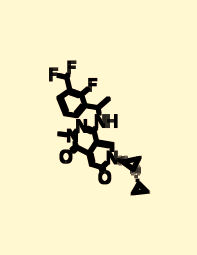 CC(Nc1nn(C)c(=O)c2cc(=O)n([C@H]3C[C@@H]3C3CC3)cc12)c1cccc(C(F)F)c1F